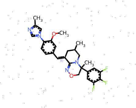 COc1cc(/C=C2\CC(C)CN3C2=NOCC3(C)c2cc(F)c(F)c(F)c2)ccc1-n1cnc(C)c1